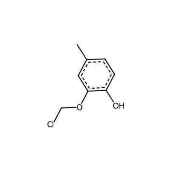 Cc1ccc(O)c(OCCl)c1